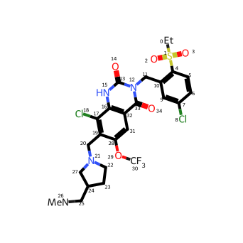 CCS(=O)(=O)c1ccc(Cl)cc1Cn1c(=O)[nH]c2c(Cl)c(CN3CCC(CNC)C3)c(OC(F)(F)F)cc2c1=O